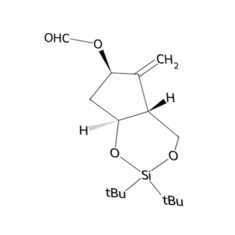 C=C1[C@H](OC=O)C[C@@H]2O[Si](C(C)(C)C)(C(C)(C)C)OC[C@@H]12